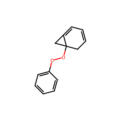 [c]1ccccc1OOC12[CH]C=CC=C1C2